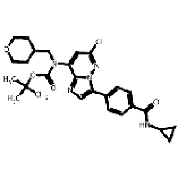 CC(C)(C)OC(=O)N(CC1CCOCC1)c1cc(Cl)nn2c(-c3ccc(C(=O)NC4CC4)cc3)cnc12